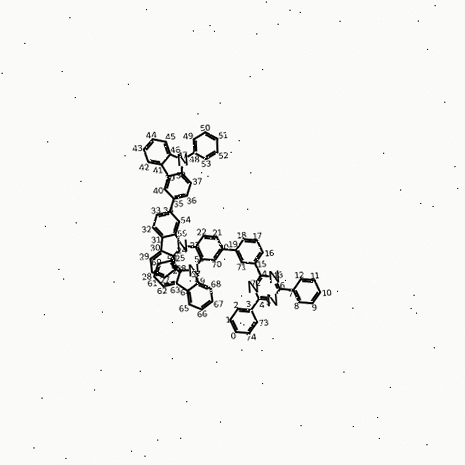 c1ccc(-c2nc(-c3ccccc3)nc(-c3cccc(-c4ccc(-n5c6ccccc6c6ccc(-c7ccc8c(c7)c7ccccc7n8-c7ccccc7)cc65)c(-n5c6ccccc6c6ccccc65)c4)c3)n2)cc1